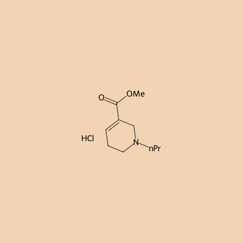 CCCN1CCC=C(C(=O)OC)C1.Cl